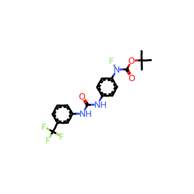 CC(C)(C)OC(=O)N(F)c1ccc(NC(=O)Nc2cccc(C(F)(F)F)c2)cc1